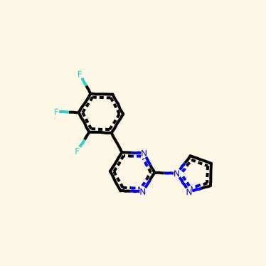 Fc1ccc(-c2ccnc(-n3cccn3)n2)c(F)c1F